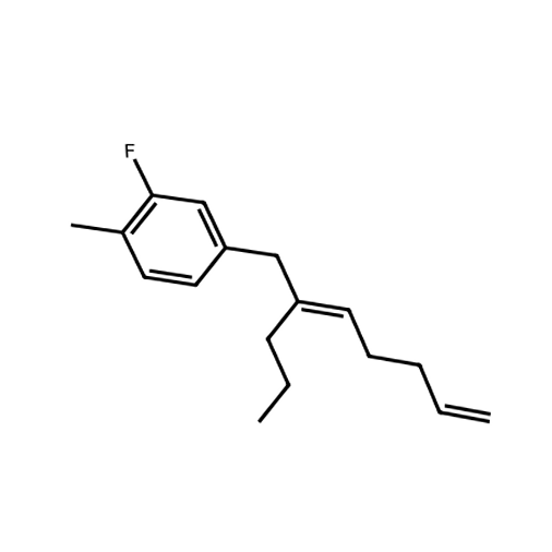 C=CCC/C=C(\CCC)Cc1ccc(C)c(F)c1